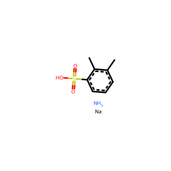 Cc1cccc(S(=O)(=O)O)c1C.N.[Na]